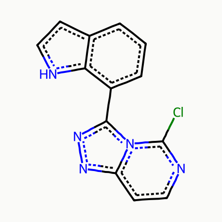 Clc1nccc2nnc(-c3cccc4cc[nH]c34)n12